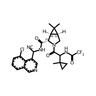 CC1(C(NC(=O)C(F)(F)F)C(=O)N2C[C@H]3[C@@H]([C@H]2C(=O)NC(C#N)c2cncc4cccc(Cl)c24)C3(C)C)CC1